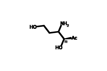 CC(=O)[C@@H](O)C(N)CCO